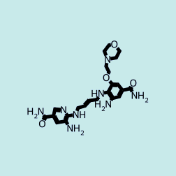 NC(=O)c1cnc(NCC=CCNc2c(N)cc(C(N)=O)cc2OCCN2CCOCC2)c(N)c1